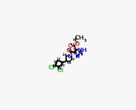 CCOC(=O)c1[nH]nnc1C(=O)N1CCC(c2ccc(Cl)c(Cl)c2)C1